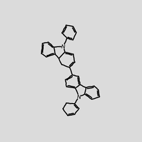 C1=CCCC(n2c3ccccc3c3cc(C4=CC=C5C(C4)c4ccccc4N5c4ccccc4)ccc32)=C1